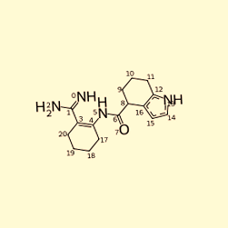 N=C(N)C1=C(NC(=O)C2CCCc3[nH]ccc32)CCCC1